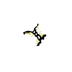 Cc1cc2c3cc(C)sc3c3cc4c(cc3c2s1)c1sc(C)cc1c1cc(C)sc14